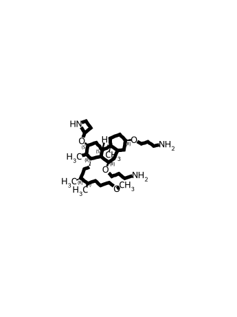 COCCC[C@@H](C)[C@H](C)CC[C@@H]1C(C)[C@@H](OC2CCN2)C[C@H]2C1[C@H](OCCCN)CC1C[C@H](OCCCN)CC[C@@]12C